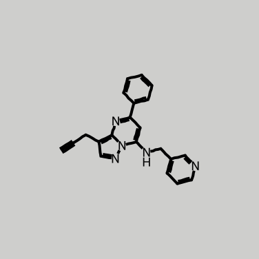 C#CCc1cnn2c(NCc3cccnc3)cc(-c3ccccc3)nc12